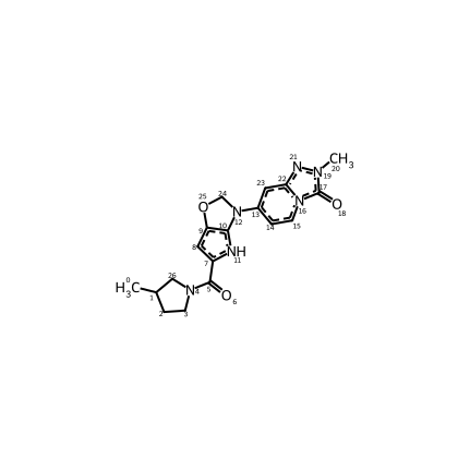 CC1CCN(C(=O)c2cc3c([nH]2)N(c2ccn4c(=O)n(C)nc4c2)CO3)C1